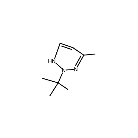 CC1=NN(C(C)(C)C)N[C]=C1